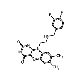 Cc1cc2nc3c(=O)[nH]c(=O)nc-3n(CCNCc3ccc(F)c(F)c3)c2cc1C